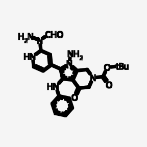 CC(C)(C)OC(=O)N1CC(=O)c2c(Nc3ccccc3)c(C3=CC(N(N)C=O)NC=C3)n(N)c2C1